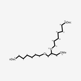 CCCCCCCCCCCCCCCCOCC(COC)OCCCCCCCCCCCCCCCC